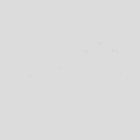 C#C/C=C(/OC[C@H]1CCCN(C(=O)c2ccnc(-c3ccccc3)c2)C1)C1=C(C)NS(=O)(=O)N=C1N